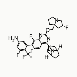 Nc1cc(F)c(C(F)(F)F)c(-c2ccc3c(N4C[C@H]5CC[C@@H](C4)N5)nc(OC[C@@]45CCCN4C[C@H](F)C5)nc3c2F)c1